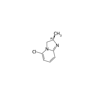 C[C@@H]1CN2C(Cl)=CC=CC2=N1